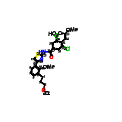 CCOCCCc1cccc(-c2csc(NC(=O)c3cc(Cl)c(C=C(OC)C(=O)O)c(Cl)c3)n2)c1OC